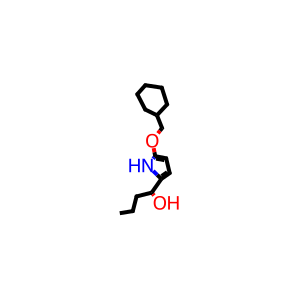 CCCC(O)c1ccc(OCC2CCCCC2)[nH]1